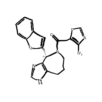 O=C(c1ocnc1C(F)(F)F)N1CCCc2[nH]cnc2[C@@H]1c1cc2ccccc2o1